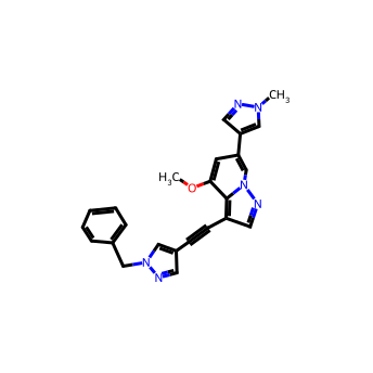 COc1cc(-c2cnn(C)c2)cn2ncc(C#Cc3cnn(Cc4ccccc4)c3)c12